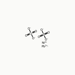 O=S(=O)([O-])[O-].[Ni+2].[O]=[Cr](=[O])([O-])[O-].[Pb+2]